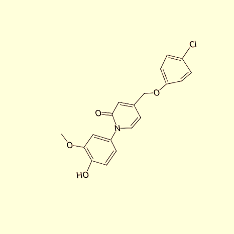 COc1cc(-n2ccc(COc3ccc(Cl)cc3)cc2=O)ccc1O